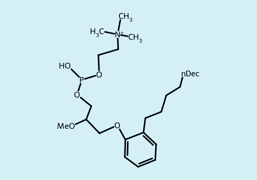 CCCCCCCCCCCCCCc1ccccc1OCC(COP(O)OCC[N+](C)(C)C)OC